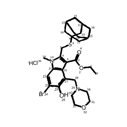 CCOC(=O)c1c(CSC23CC4CC(CC(C4)C2)C3)n(C)c2cc(Br)c(O)c(CN3CCOCC3)c12.Cl